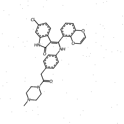 CN1CCN(C(=O)Cc2ccc(N/C(=C3\C(=O)Nc4cc(Cl)ccc43)c3cccc4c3OC=CO4)cc2)CC1